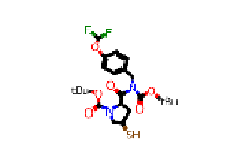 CC(C)(C)OC(=O)N(Cc1ccc(OC(F)F)cc1)C(=O)C1CC(S)CN1C(=O)OC(C)(C)C